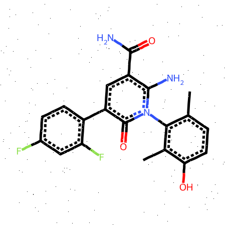 Cc1ccc(O)c(C)c1-n1c(N)c(C(N)=O)cc(-c2ccc(F)cc2F)c1=O